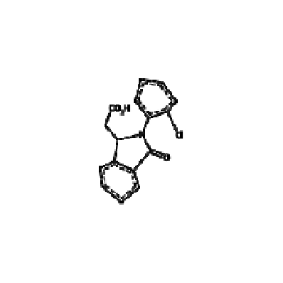 O=C(O)CC1c2ccccc2C(=O)N1c1ccccc1Cl